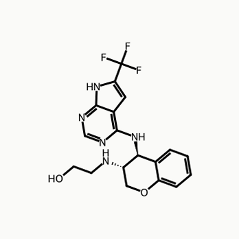 OCCN[C@H]1COc2ccccc2[C@@H]1Nc1ncnc2[nH]c(C(F)(F)F)cc12